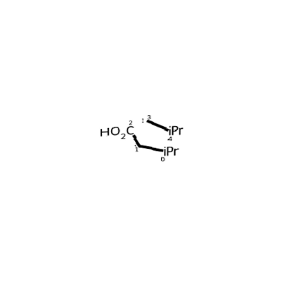 CC(C)[CH]C(=O)O.[CH]C(C)C